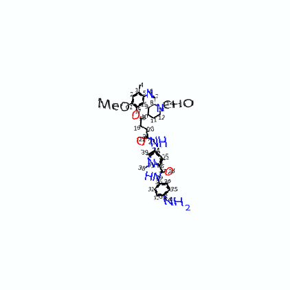 COc1cc(C)c(/N=C\[C@@H]2CCCCN2C=O)cc1OCCCC(=O)Nc1cc(C(=O)Nc2ccc(N)cc2)n(C)c1